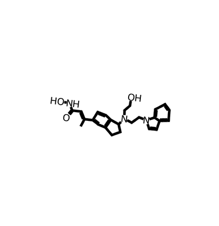 C/C(=C\C(=O)NO)c1ccc2c(c1)CCC2N(CCO)CCn1ccc2ccccc21